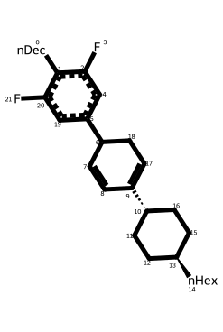 CCCCCCCCCCc1c(F)cc(C2C=CC([C@H]3CC[C@H](CCCCCC)CC3)=CC2)cc1F